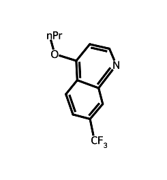 CCCOc1ccnc2cc(C(F)(F)F)ccc12